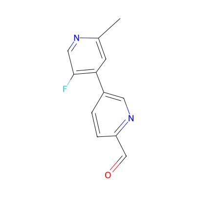 Cc1cc(-c2ccc(C=O)nc2)c(F)cn1